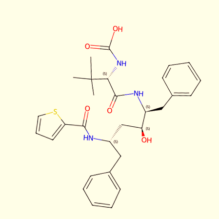 CC(C)(C)[C@H](NC(=O)O)C(=O)N[C@@H](Cc1ccccc1)[C@@H](O)C[C@H](Cc1ccccc1)NC(=O)c1cccs1